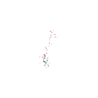 C[C@]12C=CC(=O)C=C1CC[C@H]1C3CCC(O)(C(=O)COC(=O)C(N)COC(=O)OCCC(CON(O)O)ON(O)O)[C@@]3(C)C[C@H](O)C12F